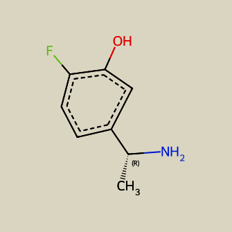 C[C@@H](N)c1ccc(F)c(O)c1